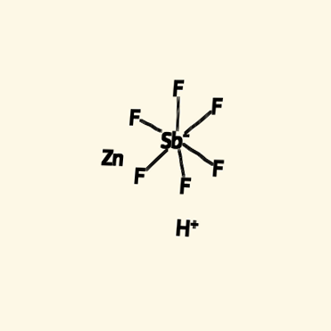 [F][Sb-]([F])([F])([F])([F])[F].[H+].[Zn]